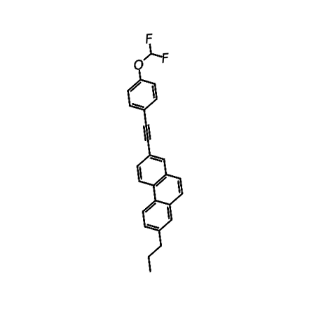 CCCc1ccc2c(ccc3cc(C#Cc4ccc(OC(F)F)cc4)ccc32)c1